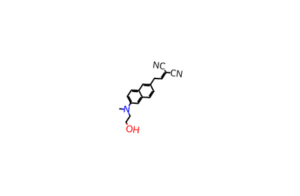 CN(CCO)c1ccc2cc(CC=C(C#N)C#N)ccc2c1